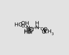 Br.Br.CCCN(CCCCCCNCCc1ccc(S(C)(=O)=O)cc1)[C@H]1CCc2c(ccc(O)c2O)C1